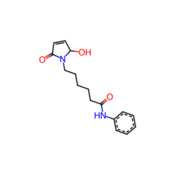 O=C(CCCCCN1C(=O)C=CC1O)Nc1ccccc1